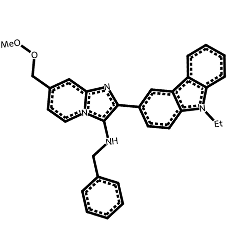 CCn1c2ccccc2c2cc(-c3nc4cc(COOC)ccn4c3NCc3ccccc3)ccc21